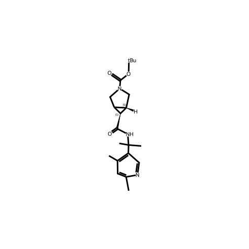 Cc1cc(C)c(C(C)(C)NC(=O)[C@H]2C3CN(C(=O)OC(C)(C)C)C[C@@H]32)cn1